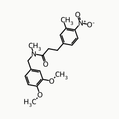 COc1ccc(CN(C)C(=O)CCc2ccc([N+](=O)[O-])c(C)c2)cc1OC